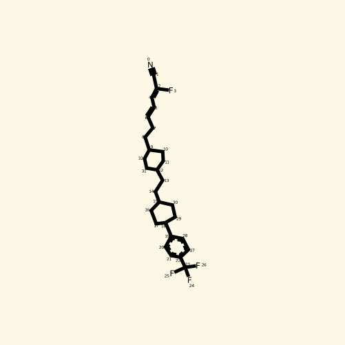 N#CC(F)=CC=CCCC1CCC(CCC2CCC(c3ccc(C(F)(F)F)cc3)CC2)CC1